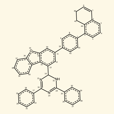 C1=Cc2cccc(-c3ccc(-c4cc(C5N=C(c6ccccc6)N=C(c6ccccc6)N5)c5c(c4)oc4ccccc45)cc3)c2CC1